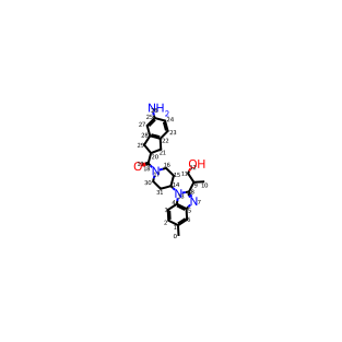 Cc1ccc2c(c1)nc(C(C)CO)n2C1CCN(C(=O)C2Cc3ccc(N)cc3C2)CC1